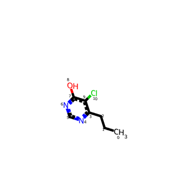 CCCc1ncnc(O)c1Cl